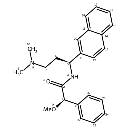 CO[C@@H](C(=O)N[C@@H](CCN(C)C)c1ccc2ccccc2c1)c1ccccc1